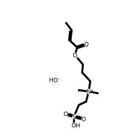 CC=CC(=O)OCCC[N+](C)(C)CCS(=O)(=O)O.[OH-]